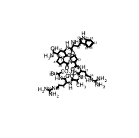 CCC(C)C(NC(=O)C(CCCNC(N)N)NC(=O)C(C)NC(=O)C(CCCNC(N)N)NC(=O)C1CCCN1C(=O)C1CCCN1C(=O)C(CCC(N)O)NC(=O)C(N)Cc1c[nH]c2ccccc12)C(=O)O